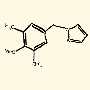 COc1c(C)cc(Cn2cccn2)cc1C